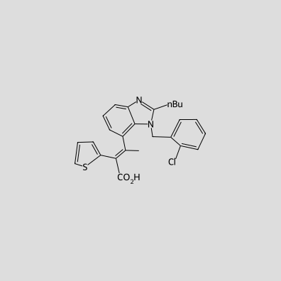 CCCCc1nc2cccc(C(C)=C(C(=O)O)c3cccs3)c2n1Cc1ccccc1Cl